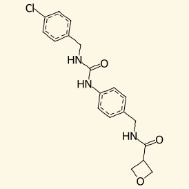 O=C(NCc1ccc(Cl)cc1)Nc1ccc(CNC(=O)C2COC2)cc1